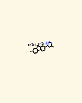 CCCCCCCCC1(CCCCCCCC)c2cc(C)ccc2-c2ccc(-c3cc(C)ccn3)cc21